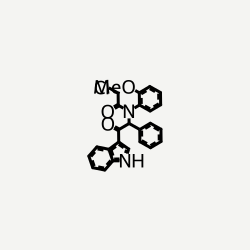 COc1ccccc1N(C(=O)CCl)C(C(=O)c1c[nH]c2ccccc12)c1ccccc1